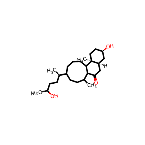 COC(O)CC[C@@H](C)C1CCCC2C(C(=O)C[C@@H]3C[C@H](O)CC[C@]23C)C(C)CC1